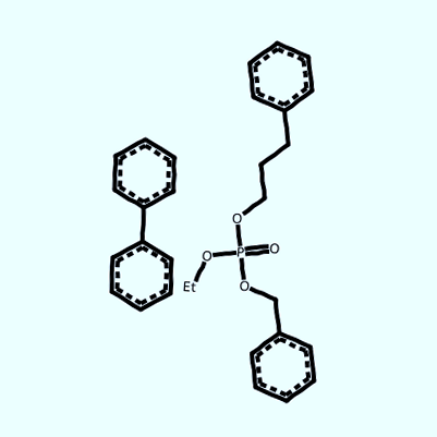 CCOP(=O)(OCCCc1ccccc1)OCc1ccccc1.c1ccc(-c2ccccc2)cc1